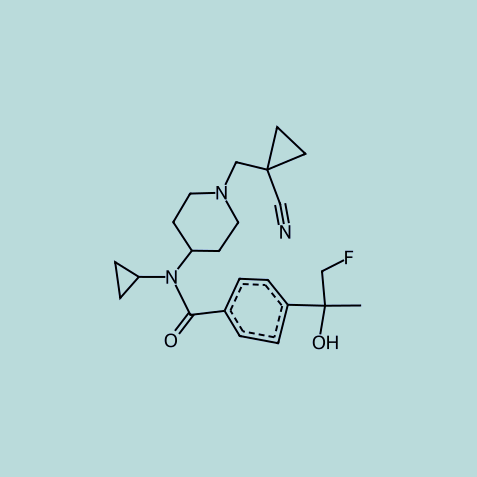 CC(O)(CF)c1ccc(C(=O)N(C2CC2)C2CCN(CC3(C#N)CC3)CC2)cc1